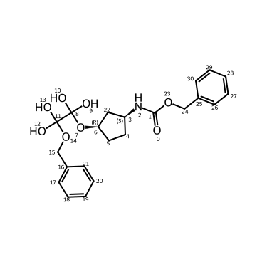 O=C(N[C@H]1CC[C@@H](OC(O)(O)C(O)(O)OCc2ccccc2)C1)OCc1ccccc1